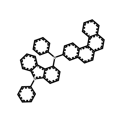 c1ccc(N(c2ccc3c(ccc4ccc5ccccc5c43)c2)c2cccc3c2c2ccccc2n3-c2ccccc2)cc1